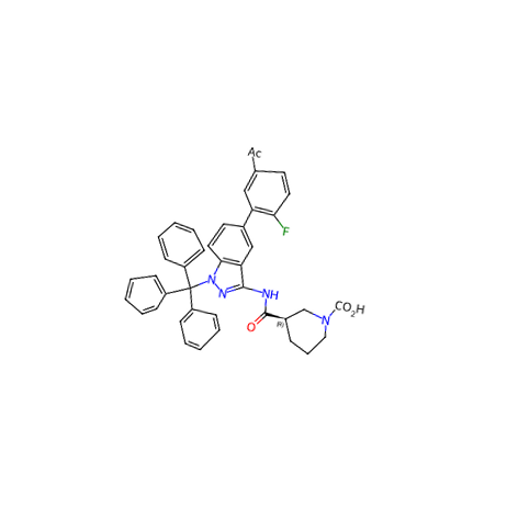 CC(=O)c1ccc(F)c(-c2ccc3c(c2)c(NC(=O)[C@@H]2CCCN(C(=O)O)C2)nn3C(c2ccccc2)(c2ccccc2)c2ccccc2)c1